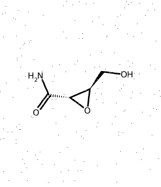 NC(=O)[C@H]1O[C@@H]1CO